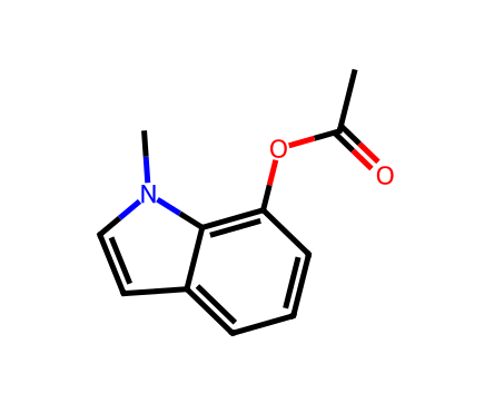 CC(=O)Oc1cccc2ccn(C)c12